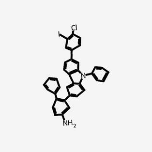 Nc1ccc(-c2ccccc2)c(-c2ccc3c(c2)c2ccc(-c4ccc(Cl)c(I)c4)cc2n3-c2ccccc2)c1